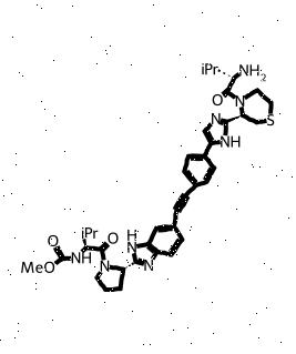 COC(=O)N[C@H](C(=O)N1CCC[C@H]1c1nc2ccc(C#Cc3ccc(-c4cnc([C@@H]5CSCCN5C(=O)[C@@H](N)C(C)C)[nH]4)cc3)cc2[nH]1)C(C)C